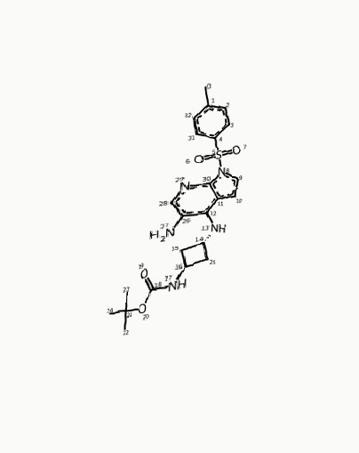 Cc1ccc(S(=O)(=O)n2ccc3c(N[C@H]4C[C@H](NC(=O)OC(C)(C)C)C4)c(N)cnc32)cc1